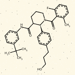 Cc1cccc(F)c1C(=O)N1CCCC(C(=O)Nc2cccc(C(C)(C)C)c2)[C@@H]1c1ccc(CCCO)cc1